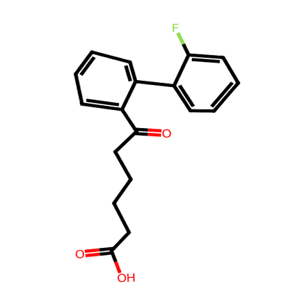 O=C(O)CCCCC(=O)c1ccccc1-c1ccccc1F